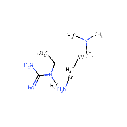 CC(N)=O.CN(C)C.CN(CC(=O)O)C(=N)N.CNC